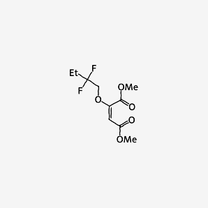 CCC(F)(F)CO/C(=C/C(=O)OC)C(=O)OC